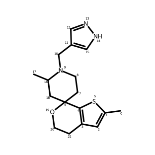 Cc1cc2c(s1)C1(CCN(Cc3cn[nH]c3)C(C)C1)OCC2